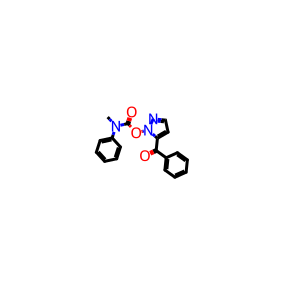 CN(C(=O)On1nccc1C(=O)c1ccccc1)c1ccccc1